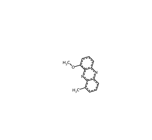 COc1cccc2nc3cccc(C)c3nc12